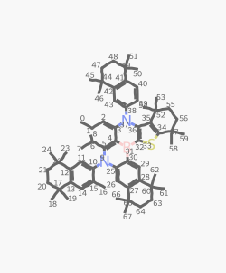 CC/C=C1\C2=C(C(C)C)N(c3cc4c(cc3C)C(C)(C)CCC4(C)C)c3cc4c(cc3B2c2sc3c(c2N1c1ccc2c(c1)C(C)(C)CCC2(C)C)C(C)(C)CCC3(C)C)C(C)(C)CCC4(C)C